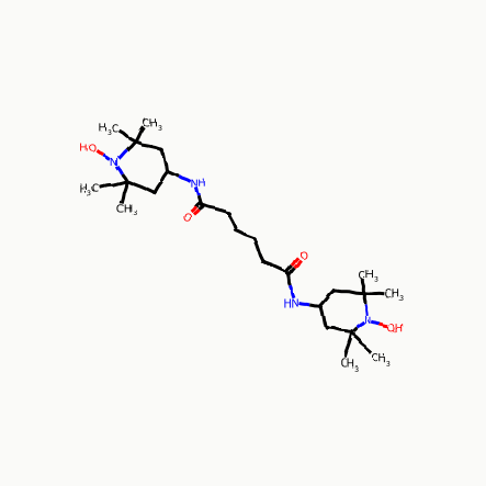 CC1(C)CC(NC(=O)CCCCC(=O)NC2CC(C)(C)N(O)C(C)(C)C2)CC(C)(C)N1O